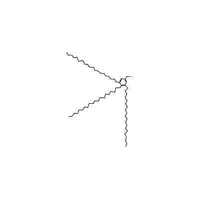 [CH2]Cc1cc(CCCCCCCCCCCCCCCCCCCC)c(CCCCCCCCCCCCCCCCCCCC)c(CCCCCCCCCCCCCCCCCCCC)c1